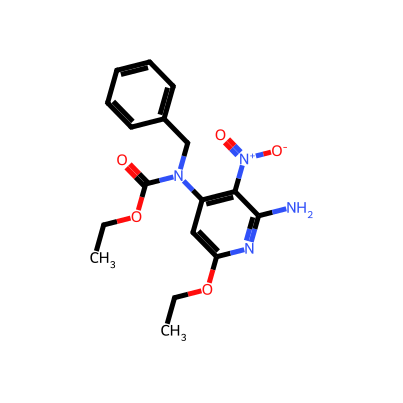 CCOC(=O)N(Cc1ccccc1)c1cc(OCC)nc(N)c1[N+](=O)[O-]